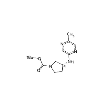 Cc1cnc(N[C@@H]2CCN(C(=O)OC(C)(C)C)C2)cn1